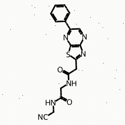 N#CCNC(=O)CNC(=O)Cc1nc2ncc(-c3ccccc3)nc2s1